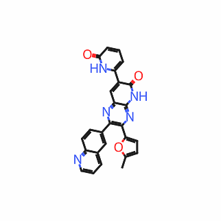 Cc1ccc(-c2nc3[nH]c(=O)c(-c4cccc(=O)[nH]4)cc3nc2-c2ccc3ncccc3c2)o1